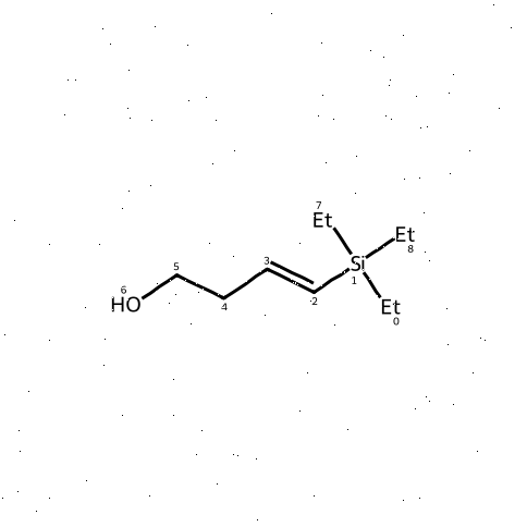 CC[Si](/C=C/CCO)(CC)CC